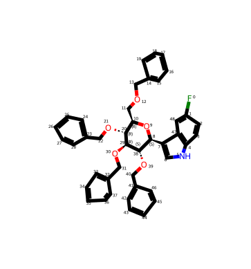 Fc1ccc2[nH]cc([C@@H]3O[C@H](COCc4ccccc4)[C@@H](OCc4ccccc4)[C@H](OCc4ccccc4)[C@H]3OCc3ccccc3)c2c1